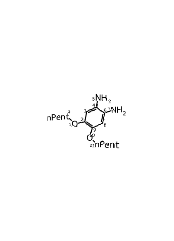 CCCCCOc1cc(N)c(N)cc1OCCCCC